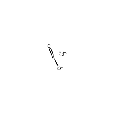 [Gd+].[O]=[Al][O-]